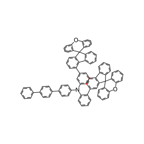 c1ccc(-c2ccc(-c3ccc(N(c4cccc(-c5cccc6c5-c5ccccc5C65c6ccccc6Oc6ccccc65)c4)c4ccccc4-c4ccc5c(c4)C4(c6ccccc6Oc6ccccc64)c4ccccc4-5)cc3)cc2)cc1